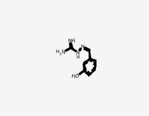 N=C(N)N/N=C\c1cccc(O)c1